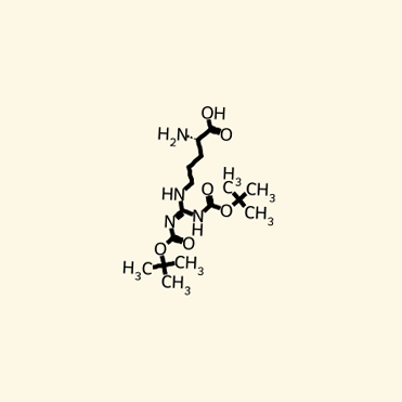 CC(C)(C)OC(=O)/N=C(/NCCC[C@H](N)C(=O)O)NC(=O)OC(C)(C)C